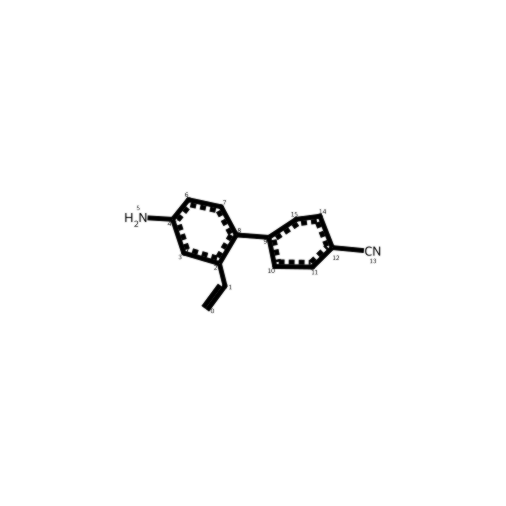 C=Cc1cc(N)ccc1-c1ccc(C#N)cc1